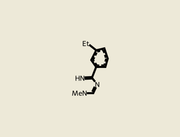 CCc1cccc(C(=N)/N=C\NC)c1